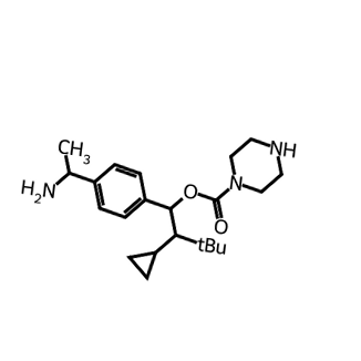 CC(N)c1ccc(C(OC(=O)N2CCNCC2)C(C2CC2)C(C)(C)C)cc1